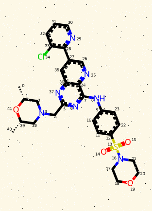 C[C@@H]1CN(Cc2nc(Nc3ccc(S(=O)(=O)N4CCOCC4)cc3)c3ncc(-c4ncccc4Cl)cc3n2)C[C@H](C)O1